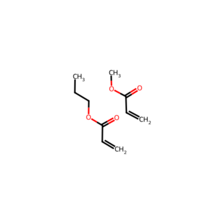 C=CC(=O)OC.C=CC(=O)OCCC